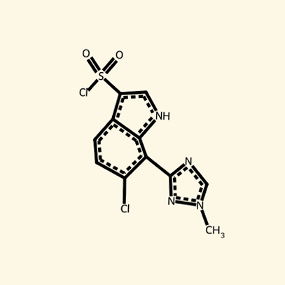 Cn1cnc(-c2c(Cl)ccc3c(S(=O)(=O)Cl)c[nH]c23)n1